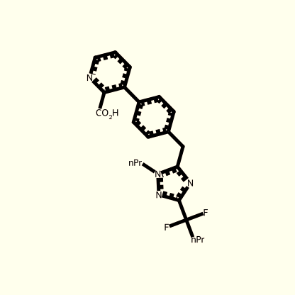 CCCn1nc(C(F)(F)CCC)nc1Cc1ccc(-c2cccnc2C(=O)O)cc1